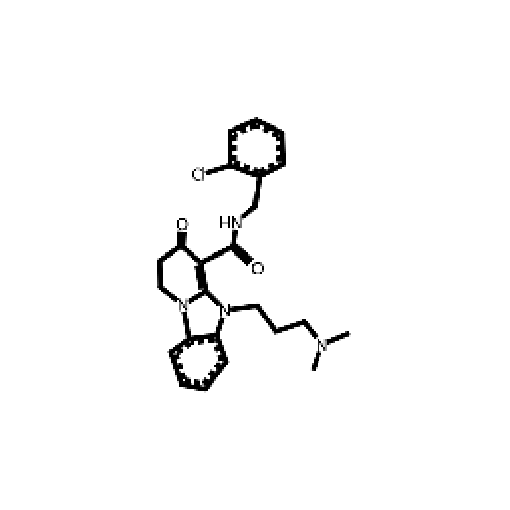 CN(C)CCCN1C2=C(C(=O)NCc3ccccc3Cl)C(=O)CCN2c2ccccc21